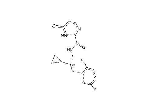 O=C(NC[C@H](Cc1cc(F)ccc1F)C1CC1)c1nccc(=O)[nH]1